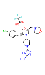 Nc1nnc(N2CCC(N3C[C@H](CN4CCOCC4)OC[C@@H]3Cc3ccc(Cl)cc3)CC2)[nH]1.O=C(O)C(F)(F)F